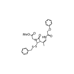 COC(=O)CN1C(=O)C(C(C)=CNC(=O)COc2ccccc2)C1SSCc1ccccc1